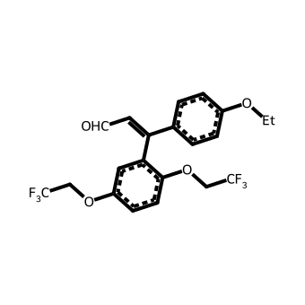 CCOc1ccc(C(=CC=O)c2cc(OCC(F)(F)F)ccc2OCC(F)(F)F)cc1